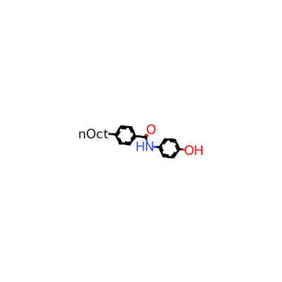 CCCCCCCCc1ccc(C(=O)Nc2ccc(O)cc2)cc1